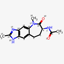 CC(=O)N[C@H]1CCc2cc3[nH]c(C)nc3cc2N(C)C1=O